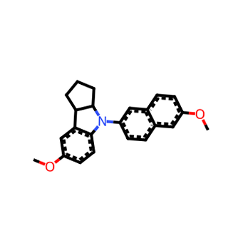 COc1ccc2c(c1)C1CCCC1N2c1ccc2cc(OC)ccc2c1